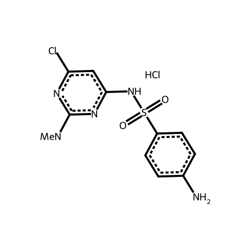 CNc1nc(Cl)cc(NS(=O)(=O)c2ccc(N)cc2)n1.Cl